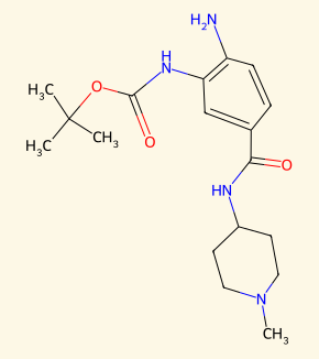 CN1CCC(NC(=O)c2ccc(N)c(NC(=O)OC(C)(C)C)c2)CC1